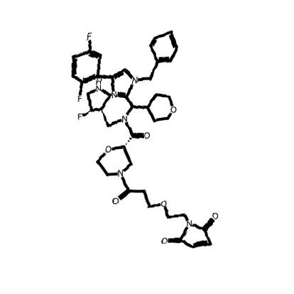 O=C(CCOCCN1C(=O)C=CC1=O)N1CCO[C@H](C(=O)N(C[C@@H]2CNC[C@@H]2F)C(c2nc(-c3cc(F)ccc3F)cn2Cc2ccccc2)C2CCOCC2)C1